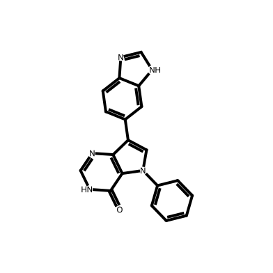 O=c1[nH]cnc2c(-c3ccc4nc[nH]c4c3)cn(-c3ccccc3)c12